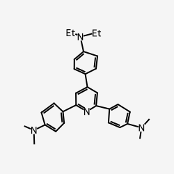 CCN(CC)c1ccc(-c2cc(-c3ccc(N(C)C)cc3)nc(-c3ccc(N(C)C)cc3)c2)cc1